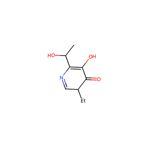 CCC1C=NC(C(C)O)=C(O)C1=O